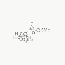 CCOC(=O)C(C)(C)Oc1c(C)cc(CC[C@H]2CNCC2C(=O)c2ccc(SC)cc2)cc1C